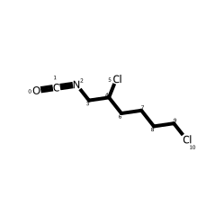 O=C=NCC(Cl)CCCCCl